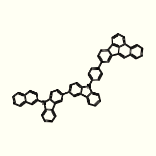 c1ccc2cc(-n3c4ccccc4c4cc(-c5ccc6c(c5)c5ccccc5n6-c5ccc(-c6ccc7c(c6)-c6cc8ccccc8c8cccc-7c68)cc5)ccc43)ccc2c1